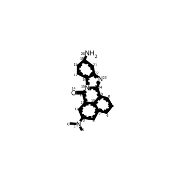 CN(C)c1cc2cccc3c2c(c1)c(=O)n1c2ccc(N)cc2nc31